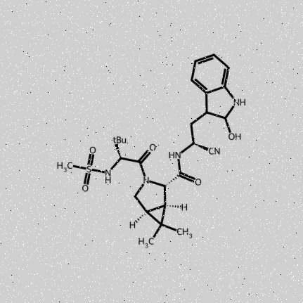 CC(C)(C)[C@H](NS(C)(=O)=O)C(=O)N1C[C@H]2[C@@H]([C@H]1C(=O)N[C@H](C#N)CC1c3ccccc3NC1O)C2(C)C